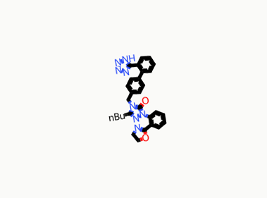 CCCCc1nn(-c2ccccc2C2=NCCO2)c(=O)n1Cc1ccc(-c2ccccc2-c2nnn[nH]2)cc1